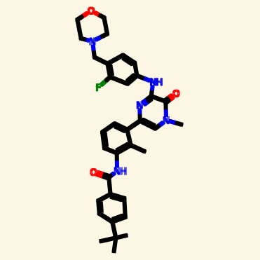 Cc1c(NC(=O)c2ccc(C(C)(C)C)cc2)cccc1-c1cn(C)c(=O)c(Nc2ccc(CN3CCOCC3)c(F)c2)n1